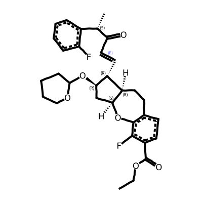 CCOC(=O)c1ccc2c(c1F)O[C@H]1C[C@@H](OC3CCCCO3)[C@H](/C=C/C(=O)[C@@H](C)c3ccccc3F)[C@H]1CC2